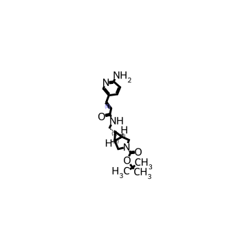 CC(C)(C)OC(=O)N1C[C@@H]2[C@@H](CNC(=O)/C=C/c3ccc(N)nc3)[C@@H]2C1